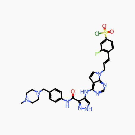 CN1CCN(Cc2ccc(NC(=O)c3n[nH]cc3Nc3ncnc4c3ccn4C/C=C/c3ccc(S(=O)(=O)Cl)cc3F)cc2)CC1